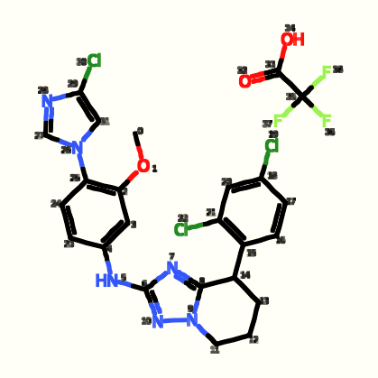 COc1cc(Nc2nc3n(n2)CCCC3c2ccc(Cl)cc2Cl)ccc1-n1cnc(Cl)c1.O=C(O)C(F)(F)F